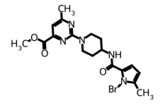 COC(=O)c1cc(C)nc(N2CCC(NC(=O)c3ccc(C)n3Br)CC2)n1